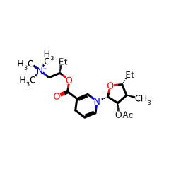 CC[C@H](C[N+](C)(C)C)OC(=O)C1=CN([C@@H]2O[C@H](CC)[C@@H](C)[C@H]2OC(C)=O)C=CC1